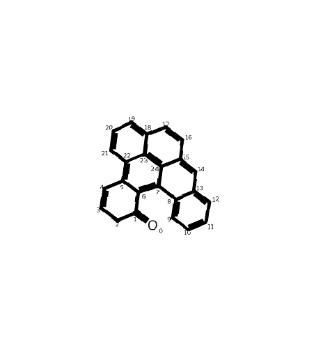 O=C1CC=Cc2c1c1c3ccccc3cc3ccc4cccc2c4c31